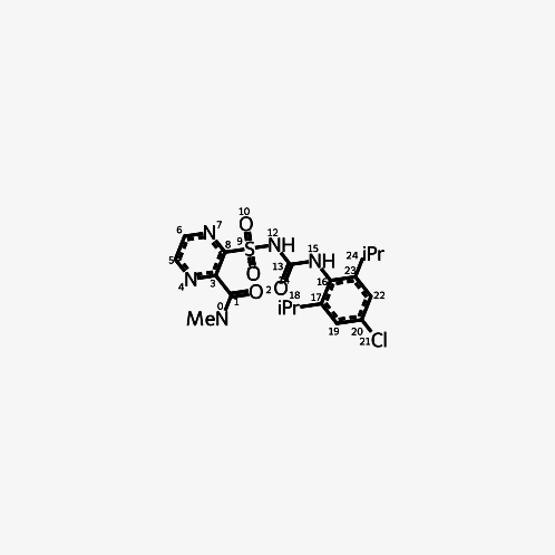 CNC(=O)c1nccnc1S(=O)(=O)NC(=O)Nc1c(C(C)C)cc(Cl)cc1C(C)C